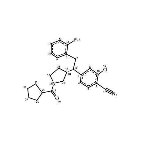 N#Cc1ccc(C(Cc2ccccc2F)[C@H]2CCN(C(=O)C3CCCC3)C2)cc1Cl